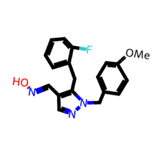 COc1ccc(Cn2ncc(C=NO)c2Cc2ccccc2F)cc1